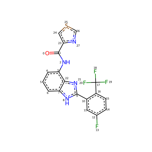 O=C(Nc1cccc2[nH]c(-c3cc(F)ccc3C(F)(F)F)nc12)c1cscn1